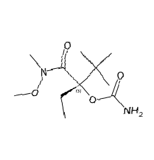 CC[C@@](OC(N)=O)(C(=O)N(C)OC)C(C)(C)C